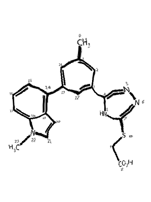 Cc1cc(-c2nnc(SCC(=O)O)[nH]2)cc(-c2cccc3c2ccn3C)c1